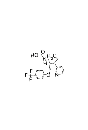 C=Cc1c(CNC(=O)O)cc(Oc2ccc(C(F)(F)F)cc2)c2ncccc12